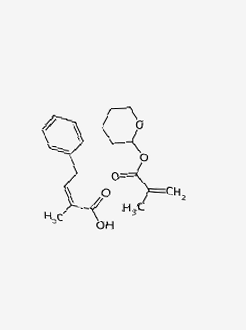 C=C(C)C(=O)OC1CCCCO1.CC(=CCc1ccccc1)C(=O)O